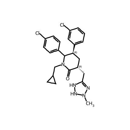 CN1N=C(C[C@H]2C[C@H](c3cccc(Cl)c3)C(c3ccc(Cl)cc3)N(CC3CC3)C2=O)NN1